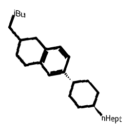 CCCCCCC[C@H]1CC[C@H](c2ccc3c(c2)CCC(CC(C)CC)C3)CC1